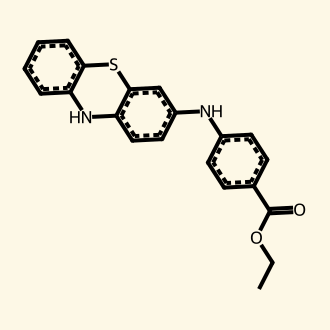 CCOC(=O)c1ccc(Nc2ccc3c(c2)Sc2ccccc2N3)cc1